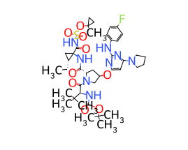 CC[C@@H]1C[C@]1(NC(=O)[C@@H]1C[C@@H](Oc2cc(N3CCCC3)nc(Nc3ccc(F)cc3)n2)CN1C(=O)[C@@H](NC(=O)OC(C)(C)C)C(C)(C)C)C(=O)NS(=O)(=O)OC1(C)CC1